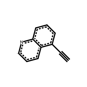 C#Cc1cccc2n[c]ccc12